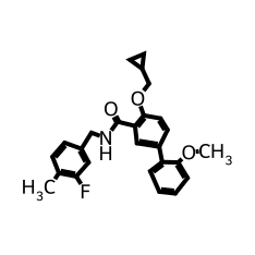 COc1ccccc1-c1ccc(OCC2CC2)c(C(=O)NCc2ccc(C)c(F)c2)c1